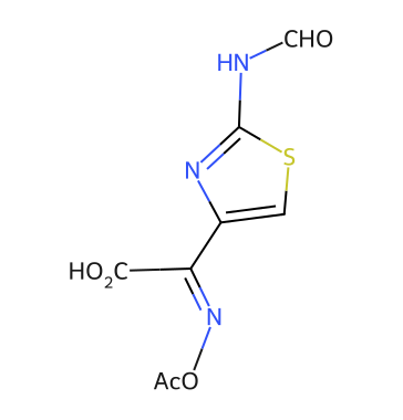 CC(=O)ON=C(C(=O)O)c1csc(NC=O)n1